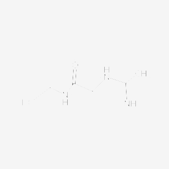 CCNC(=O)CNC(C)N